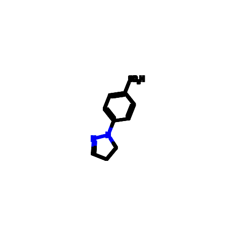 O=S(=O)(O)c1ccc(N2CCC=N2)cc1